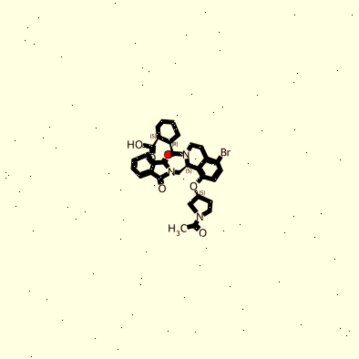 CC(=O)N1CC[C@H](Oc2ccc(Br)c3c2[C@@H](CN2C(=O)c4ccccc4C2=O)N(C(=O)[C@@H]2CCCC[C@@H]2C(=O)O)CC3)C1